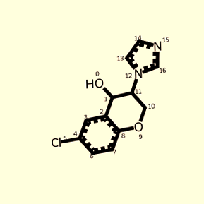 OC1c2cc(Cl)ccc2OCC1n1ccnc1